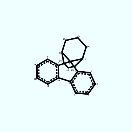 [c]1ccc2c(c1)C1(c3c[c]ccc3-2)C2CCCC1CCC2